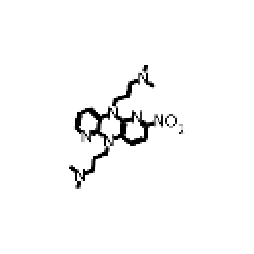 CN(C)CCCN1c2ccc([N+](=O)[O-])nc2N(CCCN(C)C)c2cccnc21